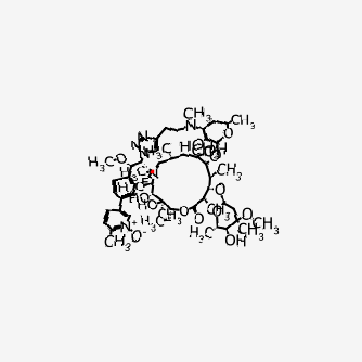 CC[C@H]1OC(=O)[C@H](C)[C@@H](O[C@H]2C[C@@](C)(OC)[C@@H](O)[C@H](C)O2)[C@H](C)[C@@H](O[C@@H]2O[C@H](C)C[C@H](N(C)CCc3cn([C@H](CF)[C@H](OC)c4ccc(-c5ccc(C)[n+]([O-])c5)cc4)nn3)[C@H]2O)[C@](C)(O)C[C@@H](C)CN(C)[C@H](C)[C@@H](O)[C@]1(C)O